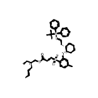 CCCC[C@@H](CC)COC(=O)CCS(=O)(=O)c1ccc(C)cc1O[C@H]1CCCC[C@H]1CCO[Si](c1ccccc1)(c1ccccc1)C(C)(C)C